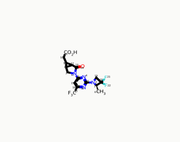 C[C@H]1N(c2nc(N3CC4C(CC(=O)O)C4C3=O)cc(C(F)(F)F)n2)CC1(F)F